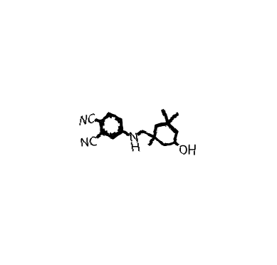 CC1(C)CC(O)CC(C)(CNc2ccc(C#N)c(C#N)c2)C1